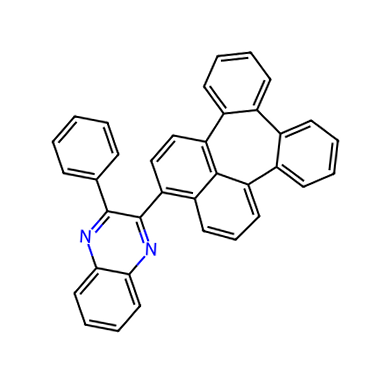 c1ccc(-c2nc3ccccc3nc2-c2ccc3c4c(cccc24)-c2ccccc2-c2ccccc2-3)cc1